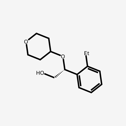 CCc1ccccc1[C@H](CO)OC1CCOCC1